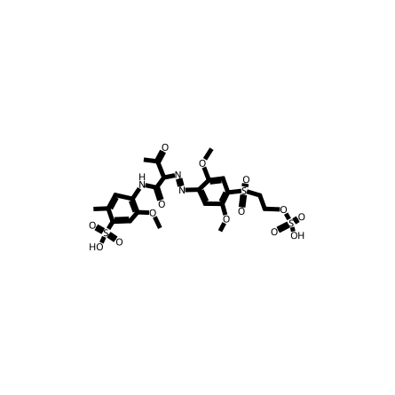 COc1cc(S(=O)(=O)CCOS(=O)(=O)O)c(OC)cc1/N=N/C(C(C)=O)C(=O)Nc1cc(C)c(S(=O)(=O)O)cc1OC